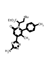 CCOC(=O)C(CC(C)(C)C)n1c(-c2ccc(C)cc2)c(C)c(-c2nnc(N)o2)cc1=O